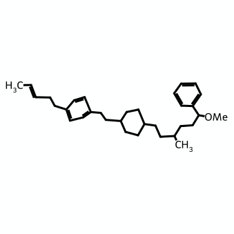 C/C=C/CCc1ccc(CCC2CCC(CCC(C)CCC(OC)c3ccccc3)CC2)cc1